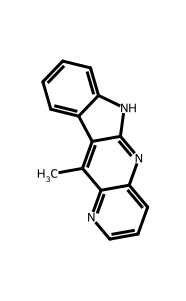 Cc1c2ncccc2nc2[nH]c3ccccc3c12